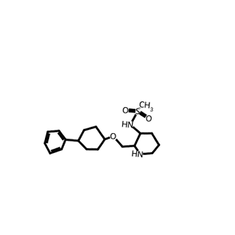 CS(=O)(=O)NC1CCCNC1COC1CCC(c2ccccc2)CC1